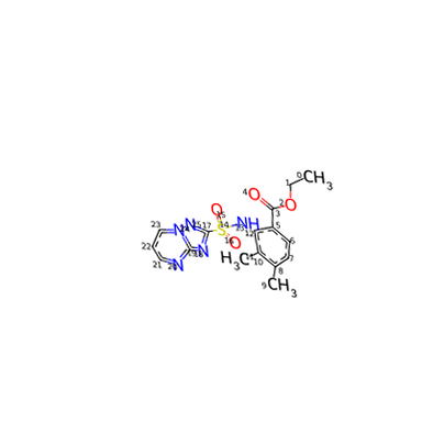 CCOC(=O)c1ccc(C)c(C)c1NS(=O)(=O)c1nc2ncccn2n1